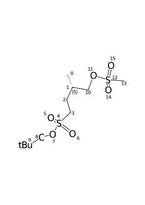 C[C@@H](CCS(=O)(=O)OCC(C)(C)C)COS(C)(=O)=O